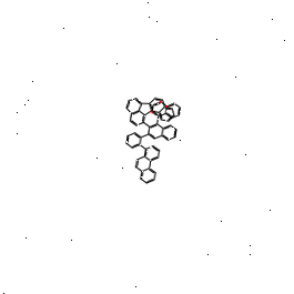 c1ccc(-c2cccc3c2ccc2ccccc23)c(-c2cc3ccccc3c(-c3cccc4ccccc34)c2-c2ccc3cccc4c3c2-c2c-4ccc3ccccc23)c1